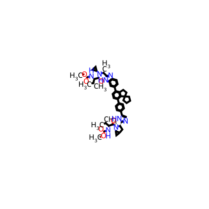 COC(=O)N[C@H](C(=O)N(C1CC1)[C@@H](C)c1nc2ccc(-c3ccc(-c4ccc(-c5cnc([C@@H]6CC7CC7N6C(=O)[C@@H](NC(=O)OC)C(C)C)[nH]5)cc4)c4c3CCC43CCCC3)cc2[nH]1)C(C)C